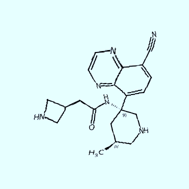 C[C@@H]1CNC[C@](NC(=O)CC2CNC2)(c2ccc(C#N)c3nccnc23)C1